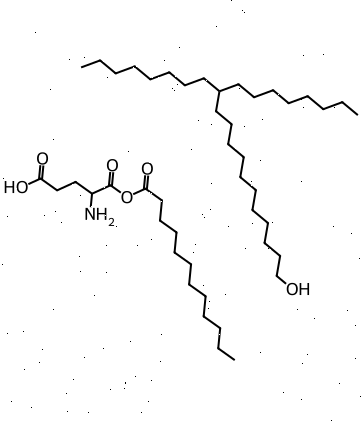 CCCCCCCCC(CCCCCCCC)CCCCCCCCCCCO.CCCCCCCCCCCC(=O)OC(=O)C(N)CCC(=O)O